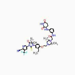 CCc1cc(N2C(=S)N(c3cnc(C#N)c(C(F)(F)F)c3)C(=O)C2(C)C)ccc1OCCN1C[C@@H](C)N(CC(=O)Nc2cccc(NC3CCC(=O)NC3=O)c2)[C@@H](C)C1